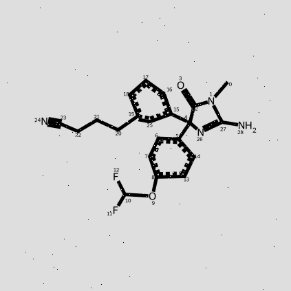 CN1C(=O)C(c2ccc(OC(F)F)cc2)(c2cccc(CCCC#N)c2)N=C1N